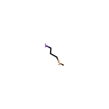 CSCCCI